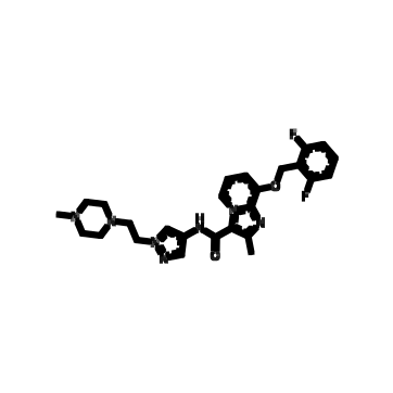 Cc1nc2c(OCc3c(F)cccc3F)cccn2c1C(=O)Nc1cnn(CCN2CCN(C)CC2)c1